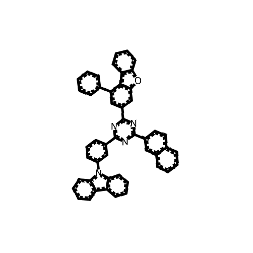 c1ccc(-c2cc(-c3nc(-c4cccc(-n5c6ccccc6c6ccccc65)c4)nc(-c4ccc5ccccc5c4)n3)cc3oc4ccccc4c23)cc1